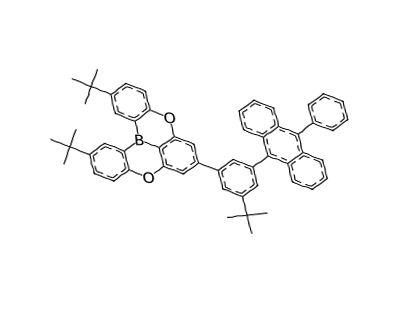 CC(C)(C)c1cc(-c2cc3c4c(c2)Oc2ccc(C(C)(C)C)cc2B4c2cc(C(C)(C)C)ccc2O3)cc(-c2c3ccccc3c(-c3ccccc3)c3ccccc23)c1